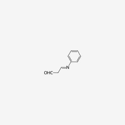 O=CCC=Nc1ccccc1